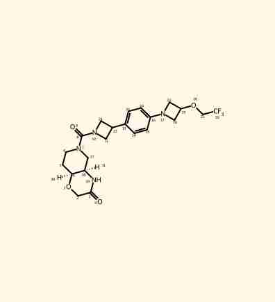 O=C1CO[C@H]2CCN(C(=O)N3CC(c4ccc(N5CC(OCC(F)(F)F)C5)cc4)C3)C[C@H]2N1